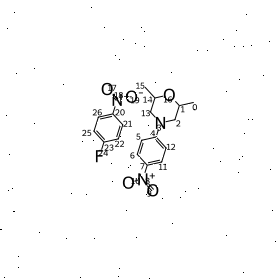 CC1CN(c2ccc([N+](=O)[O-])cc2)CC(C)O1.O=[N+]([O-])c1ccc(F)cc1